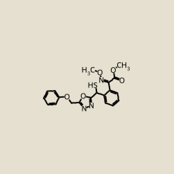 CON=C(C(=O)OC)c1ccccc1C(S)c1nnc(COc2ccccc2)o1